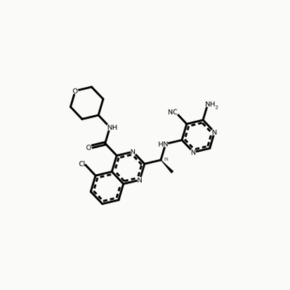 C[C@H](Nc1ncnc(N)c1C#N)c1nc(C(=O)NC2CCOCC2)c2c(Cl)cccc2n1